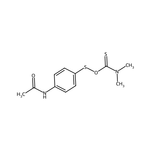 CC(=O)Nc1ccc(SOC(=S)N(C)C)cc1